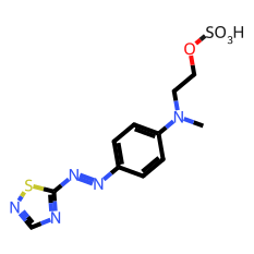 CN(CCOS(=O)(=O)O)c1ccc(N=Nc2ncns2)cc1